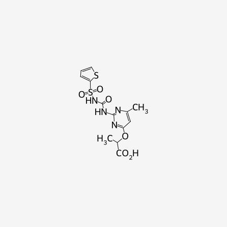 Cc1cc(OC(C)C(=O)O)nc(NC(=O)NS(=O)(=O)c2cccs2)n1